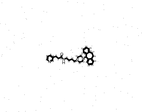 O=C(CCc1cccnc1)NCCCCN1CCN(C2c3ccccc3CCc3ccccc32)CC1